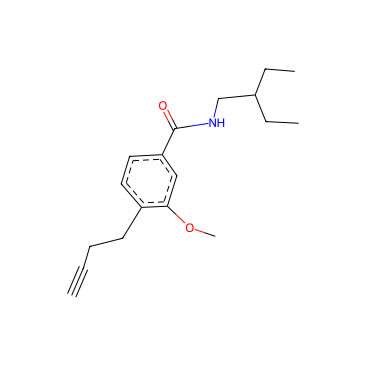 C#CCCc1ccc(C(=O)NCC(CC)CC)cc1OC